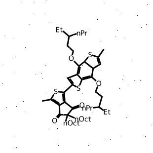 CCCCCCCCC1(CCCCCCCC)C(=O)c2c(C)sc(-c3cc4c(s3)=C(OCCC(CC)CCC)C3C=C(C)SC3C=4OCCC(CC)CCC)c2C1=O